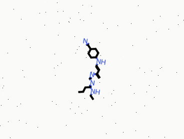 C=C(/C=C/NC1CCC(C#N)CC1)/N=C\N=C(/CCC)NCC